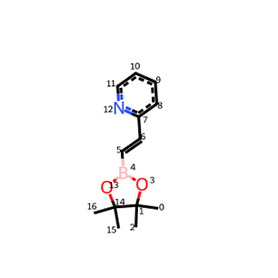 CC1(C)OB(/C=C/c2ccccn2)OC1(C)C